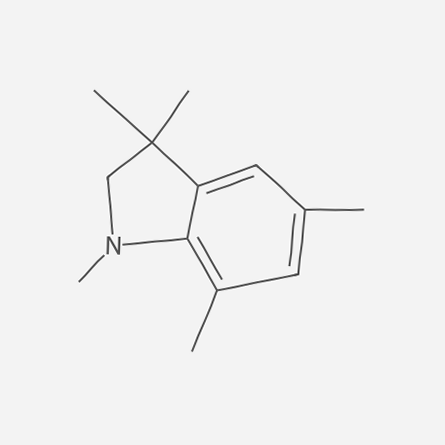 Cc1cc(C)c2c(c1)C(C)(C)CN2C